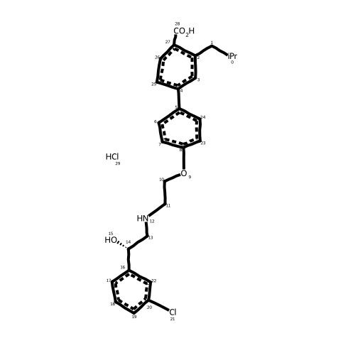 CC(C)Cc1cc(-c2ccc(OCCNC[C@@H](O)c3cccc(Cl)c3)cc2)ccc1C(=O)O.Cl